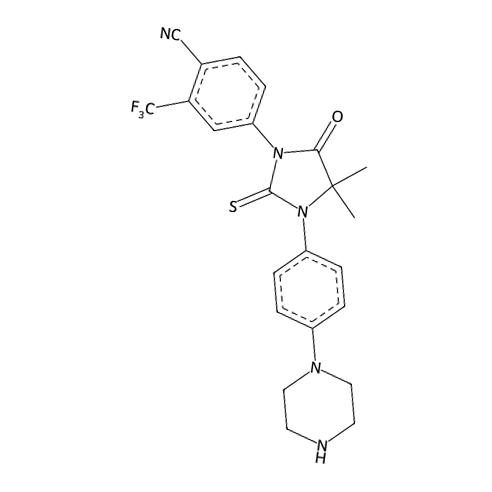 CC1(C)C(=O)N(c2ccc(C#N)c(C(F)(F)F)c2)C(=S)N1c1ccc(N2CCNCC2)cc1